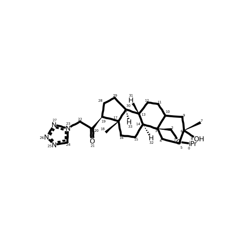 CC(C)OC[C@]12CC[C@@](C)(O)CC1CC[C@@H]1[C@@H]2CC[C@]2(C)[C@@H](C(=O)Cn3cnnn3)CC[C@@H]12